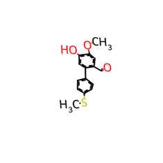 COc1cc(C=O)c(-c2ccc(SC)cc2)cc1O